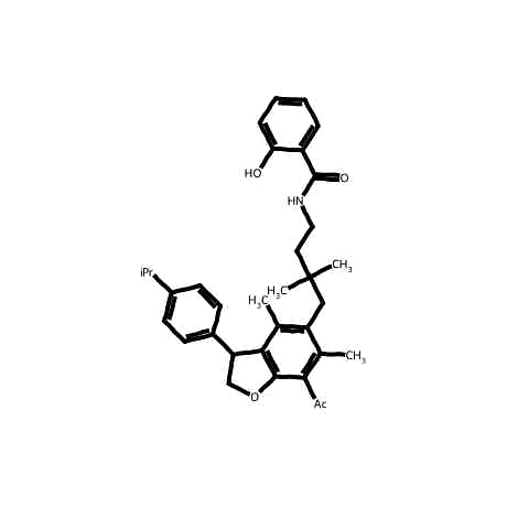 CC(=O)c1c(C)c(CC(C)(C)CCNC(=O)c2ccccc2O)c(C)c2c1OCC2c1ccc(C(C)C)cc1